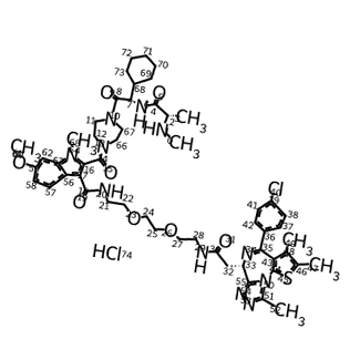 CN[C@@H](C)C(=O)N[C@H](C(=O)N1CCN(C(=O)c2c(C(=O)NCCOCCOCCNC(=O)C[C@@H]3N=C(c4ccc(Cl)cc4)c4c(sc(C)c4C)-n4c(C)nnc43)c3ccc(OC)cc3n2C)CC1)C1CCCCC1.Cl